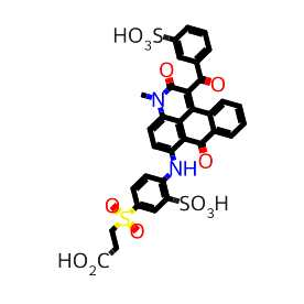 Cn1c(=O)c(C(=O)c2cccc(S(=O)(=O)O)c2)c2c3c(c(Nc4ccc(S(=O)(=O)CCC(=O)O)cc4S(=O)(=O)O)ccc31)C(=O)c1ccccc1-2